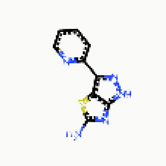 Nc1nc2[nH]nc(-c3ccccn3)c2s1